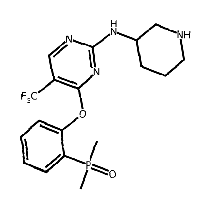 CP(C)(=O)c1ccccc1Oc1nc(NC2CCCNC2)ncc1C(F)(F)F